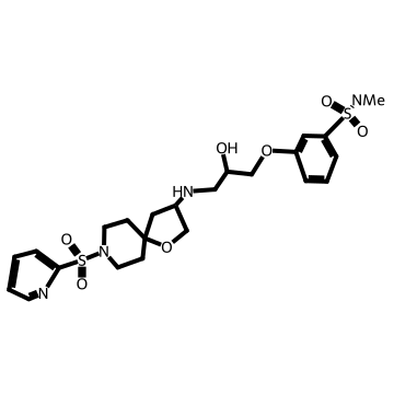 CNS(=O)(=O)c1cccc(OCC(O)CNC2COC3(CCN(S(=O)(=O)c4ccccn4)CC3)C2)c1